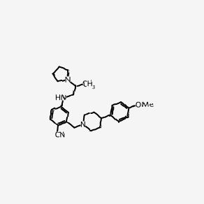 COc1ccc(C2CCN(Cc3cc(NCC(C)N4CCCC4)ccc3C#N)CC2)cc1